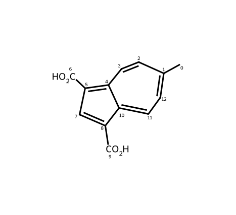 Cc1ccc2c(C(=O)O)cc(C(=O)O)c-2cc1